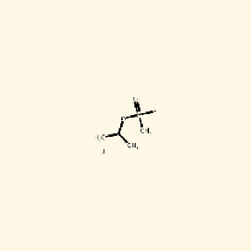 CC(C)OP(C)(=O)F.[Li]